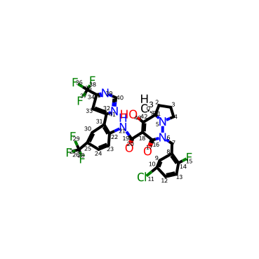 C[C@]12CCCN1N(Cc1cc(Cl)ccc1F)C(=O)C(C(=O)Nc1ccc(C(F)(F)F)cc1-c1cc(C(F)(F)F)ncn1)=C2O